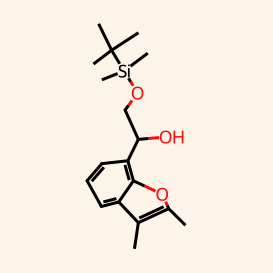 Cc1oc2c(C(O)CO[Si](C)(C)C(C)(C)C)cccc2c1C